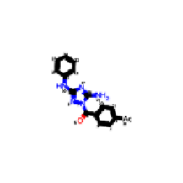 CC(=O)c1ccc(C(=O)n2nc(Nc3ccccc3)nc2N)cc1